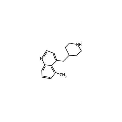 Cc1cccc2nccc(CC3CCNCC3)c12